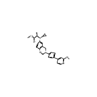 COC(=O)[C@@H](C)[C@H](c1ccc2c(c1)CC(c1ccc(-c3ccnc(OC)c3)cc1)CO2)C1CC1